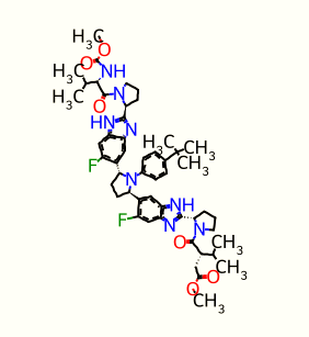 COC(=O)C[C@H](C(=O)N1CCC[C@H]1c1nc2cc(F)c([C@H]3CC[C@H](c4cc5nc([C@@H]6CCCN6C(=O)[C@@H](NC(=O)OC)C(C)C)[nH]c5cc4F)N3c3ccc(C(C)(C)C)cc3)cc2[nH]1)C(C)C